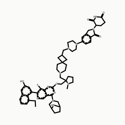 CCc1cccc2cc(O)cc(-c3ncc4c(N5CC6CCC(C5)N6)nc(OCC5(CN6CCC7(CC6)CC(CN6CCN(c8ccc9c(c8)CN(C8CCC(=O)NC8=O)C9=O)CC6)C7)CCCN5C)nc4c3F)c12